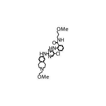 COCCCNC(=O)c1ccccc1Nc1nc(Nc2ccc3c(c2)CCN(CCOC)CC3)ncc1Cl